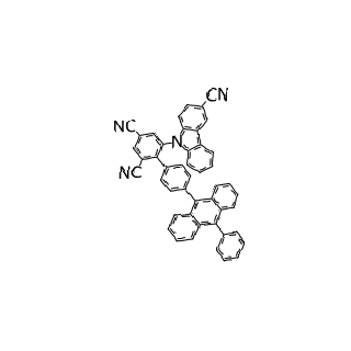 N#Cc1cc(C#N)c(-c2ccc(-c3c4ccccc4c(-c4ccccc4)c4ccccc34)cc2)c(-n2c3ccccc3c3cc(C#N)ccc32)c1